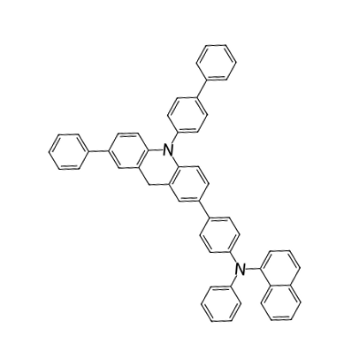 c1ccc(-c2ccc(N3c4ccc(-c5ccccc5)cc4Cc4cc(-c5ccc(N(c6ccccc6)c6cccc7ccccc67)cc5)ccc43)cc2)cc1